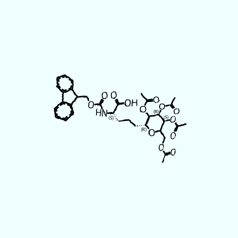 CC(=O)OCC1O[C@H](CCC[C@H](NC(=O)OCC2c3ccccc3-c3ccccc32)C(=O)O)C(OC(C)=O)[C@@H](OC(C)=O)[C@H]1OC(C)=O